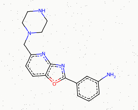 Nc1cccc(-c2nc3nc(CN4CCNCC4)ccc3o2)c1